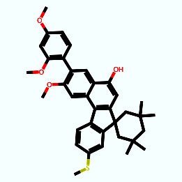 COc1ccc(-c2cc3c(O)cc4c(c3cc2OC)-c2ccc(SC)cc2C42CC(C)(C)CC(C)(C)C2)c(OC)c1